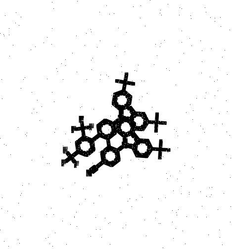 CC(C)(C)c1ccc2c(c1)c1cc(C(C)(C)C)ccc1n2-c1ccc(-c2ccc(C(F)(F)F)cc2C(F)(F)F)c(-c2cc(C#N)ccc2-n2c3ccccc3c3cc(C(C)(C)C)ccc32)c1